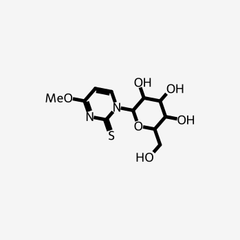 COc1ccn(C2OC(CO)C(O)C(O)C2O)c(=S)n1